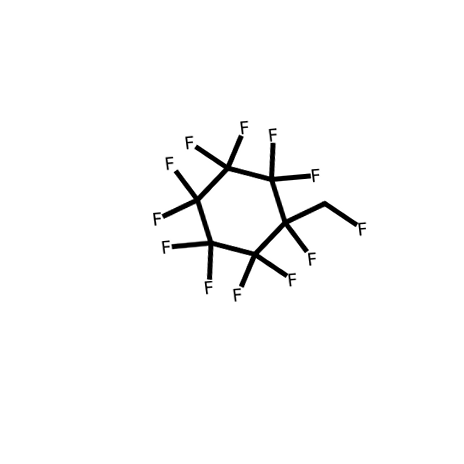 FCC1(F)C(F)(F)C(F)(F)C(F)(F)C(F)(F)C1(F)F